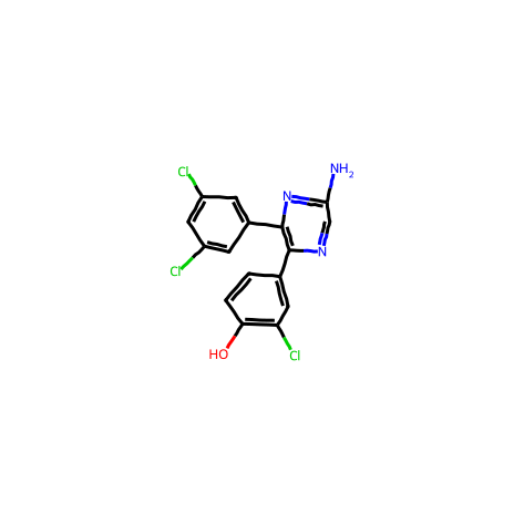 Nc1cnc(-c2ccc(O)c(Cl)c2)c(-c2cc(Cl)cc(Cl)c2)n1